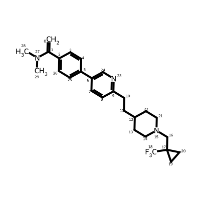 C=C(c1ccc(-c2ccc(CCC3CCN(CC4(C(F)(F)F)CC4)CC3)nc2)cc1)N(C)C